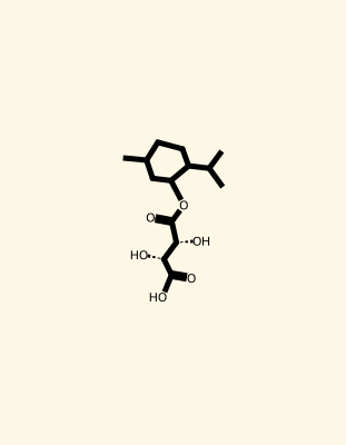 CC1CCC(C(C)C)C(OC(=O)[C@H](O)[C@@H](O)C(=O)O)C1